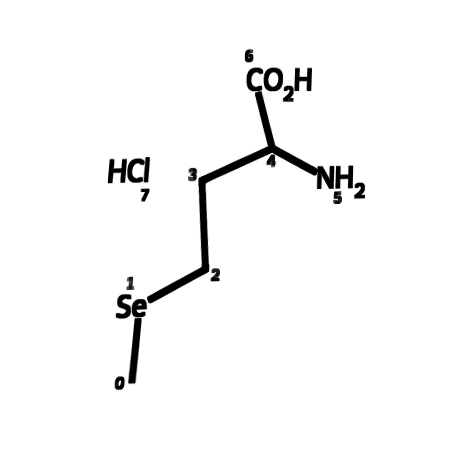 C[Se]CCC(N)C(=O)O.Cl